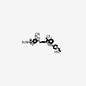 CC(=O)NS(=O)(=O)c1cc(OCC#N)c(NCC#Cc2sc3c(NC4CCN(CC(C)O)CC4)cccc3c2CC(F)(F)F)cc1F